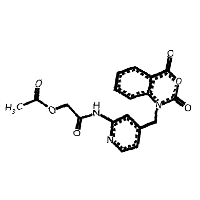 CC(=O)OCC(=O)Nc1cc(Cn2c(=O)oc(=O)c3ccccc32)ccn1